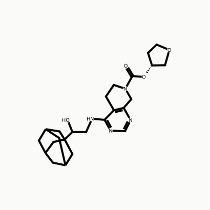 O=C(O[C@@H]1CCOC1)N1CCc2c(ncnc2NCC(O)C23CC4CC(CC(C4)C2)C3)C1